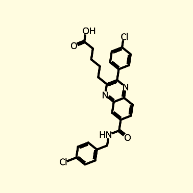 O=C(O)CCCCc1nc2cc(C(=O)NCc3ccc(Cl)cc3)ccc2nc1-c1ccc(Cl)cc1